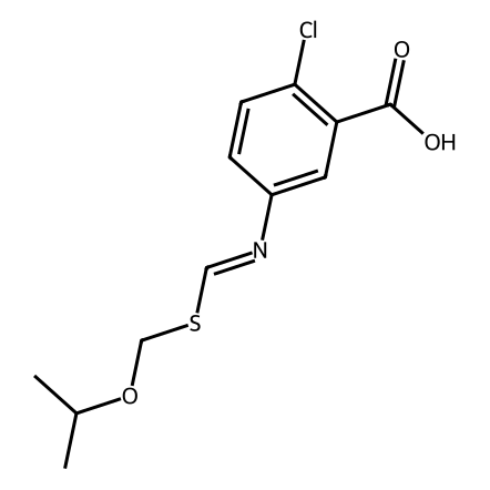 CC(C)OCSC=Nc1ccc(Cl)c(C(=O)O)c1